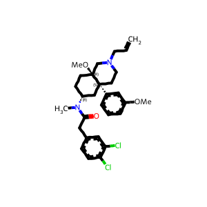 C=CCN1CC[C@@]2(c3cccc(OC)c3)C[C@H](N(C)C(=O)Cc3ccc(Cl)c(Cl)c3)CC[C@]2(OC)C1